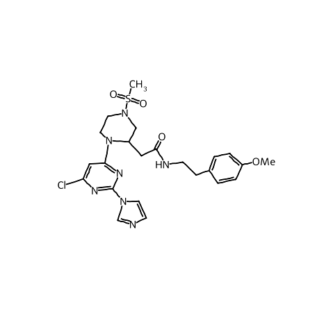 COc1ccc(CCNC(=O)CC2CN(S(C)(=O)=O)CCN2c2cc(Cl)nc(-n3ccnc3)n2)cc1